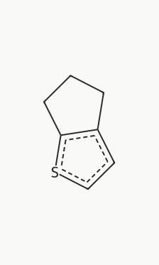 c1cc2c(s1)CCC2